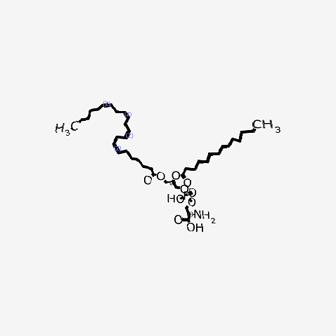 CCCCC/C=C\C/C=C\C/C=C\C/C=C\CCCCCC(=O)OC[C@H](COP(=O)(O)OC[C@H](N)C(=O)O)OC(=O)CCCCCCCCCCCCC